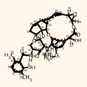 COc1cc2c(Cl)c(c1OC)OC1c3ccc(cc3C3=CC[C@@H](O)C31O[C@H]1OC[C@H](NC(=O)c3c(C)ccc(C)c3O)[C@](C)(O)[C@@H]1O)[C@@H]1O[C@@H]1OC(=O)[C@H]2O